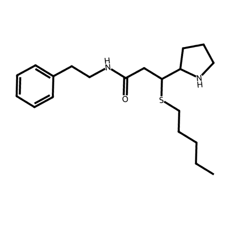 CCCCCSC(CC(=O)NCCc1ccccc1)C1CCCN1